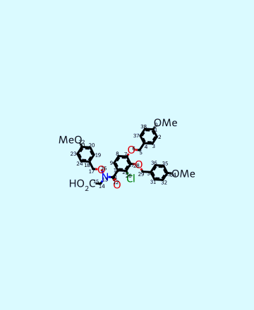 COc1ccc(COc2ccc(C(=O)N(CC(=O)O)OCc3ccc(OC)cc3)c(Cl)c2OCc2ccc(OC)cc2)cc1